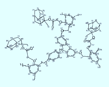 CC1(OC(=O)COc2c(I)cc(I)cc2COc2ccc([SH]3c4ccc(OCc5cc(I)cc(I)c5OCC(=O)OC5(C)C6CC7CC(C6)CC5C7)cc4-c4cc(OCc5cc(I)cc(I)c5OCC(=O)OC5(C)C6CC7CC(C6)CC5C7)ccc43)cc2)C2CC3CC(C2)CC1C3